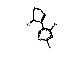 [CH2]CC1CCCC=C1c1cnc(Cl)cc1Br